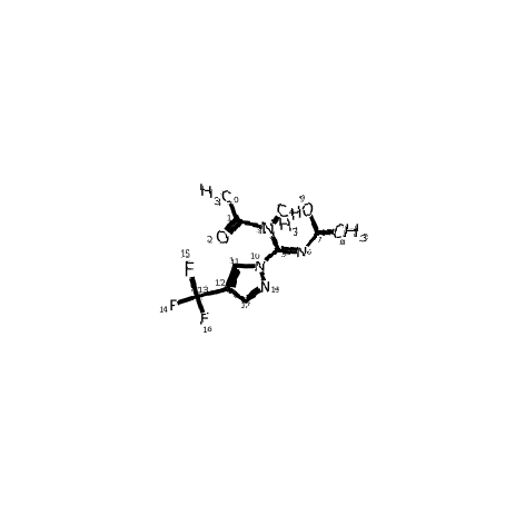 CC(=O)N(C)/C(=N\C(C)O)n1cc(C(F)(F)F)cn1